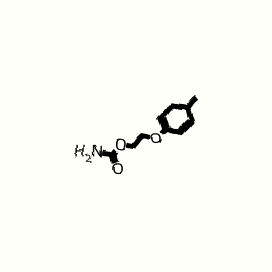 CC1C=CC(OCCOC(N)=O)=CC1